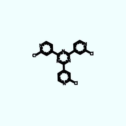 Clc1cc(-c2nc(-c3ccnc(Cl)c3)nc(-c3ccnc(Cl)c3)n2)ccn1